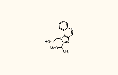 COC(C)c1nc2cnc3ccccc3c2n1CCO